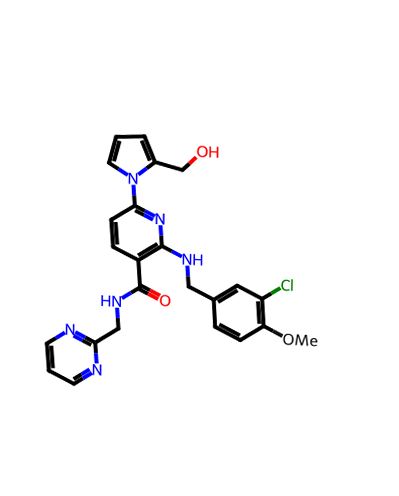 COc1ccc(CNc2nc(-n3cccc3CO)ccc2C(=O)NCc2ncccn2)cc1Cl